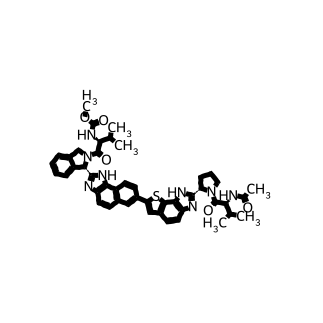 COC(=O)N[C@H](C(=O)N1Cc2ccccc2[C@H]1c1nc2ccc3cc(-c4cc5ccc6nc([C@@H]7CCCN7C(=O)[C@@H](NC(C)=O)C(C)C)[nH]c6c5s4)ccc3c2[nH]1)C(C)C